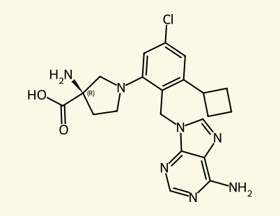 Nc1ncnc2c1ncn2Cc1c(C2CCC2)cc(Cl)cc1N1CC[C@](N)(C(=O)O)C1